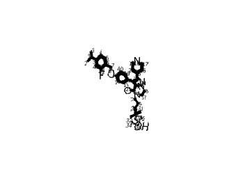 CC(C)c1ccc(COc2ccc(-c3c(-c4ccncc4)nn4c3C(=O)N(CCCC(C)(C)[Si](C)(C)O)CC4)cc2)c(F)c1